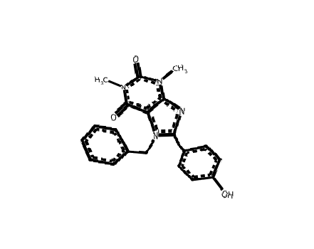 Cn1c(=O)c2c(nc(-c3ccc(O)cc3)n2Cc2ccccc2)n(C)c1=O